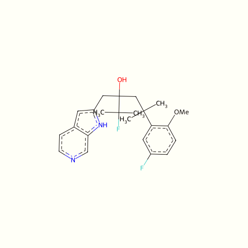 COc1ccc(F)cc1C(C)(C)CC(O)(Cc1cc2ccncc2[nH]1)C(C)(C)F